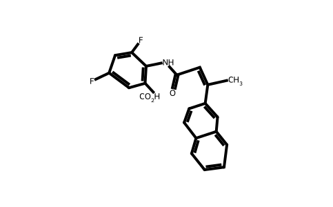 C/C(=C/C(=O)Nc1c(F)cc(F)cc1C(=O)O)c1ccc2ccccc2c1